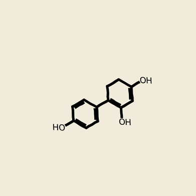 OC1=CC(O)=C(c2ccc(O)cc2)CC1